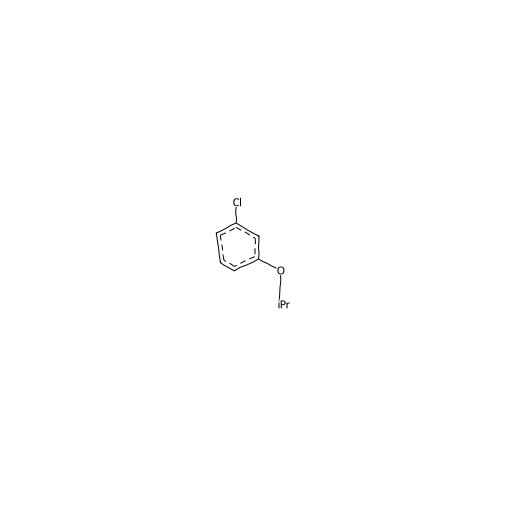 CC(C)Oc1cccc(Cl)c1